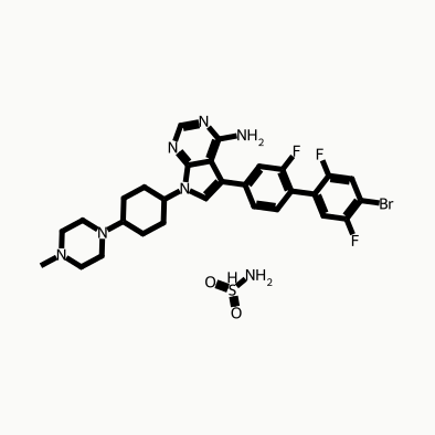 CN1CCN(C2CCC(n3cc(-c4ccc(-c5cc(F)c(Br)cc5F)c(F)c4)c4c(N)ncnc43)CC2)CC1.N[SH](=O)=O